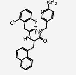 Nc1ccc(CNC(=O)C(Cc2cccc3ccccc23)NC(=O)Cc2c(F)cccc2Cl)cn1